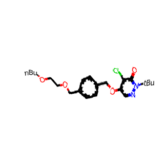 CCCCOCCOCc1ccc(COc2cnn(C(C)(C)C)c(=O)c2Cl)cc1